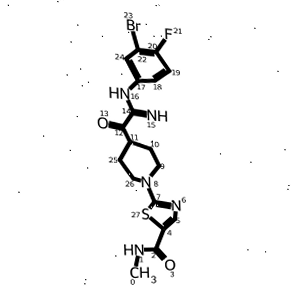 CNC(=O)c1cnc(N2CCC(C(=O)C(=N)Nc3ccc(F)c(Br)c3)CC2)s1